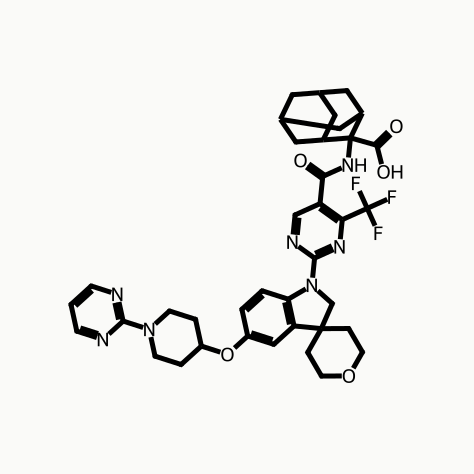 O=C(NC1(C(=O)O)C2CC3CC(C2)CC1C3)c1cnc(N2CC3(CCOCC3)c3cc(OC4CCN(c5ncccn5)CC4)ccc32)nc1C(F)(F)F